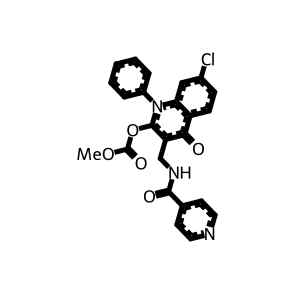 COC(=O)Oc1c(CNC(=O)c2ccncc2)c(=O)c2ccc(Cl)cc2n1-c1ccccc1